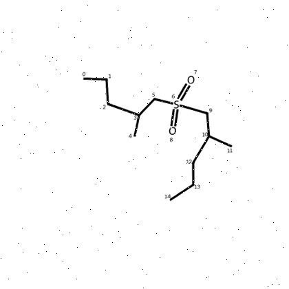 CCCC(C)CS(=O)(=O)CC(C)CCC